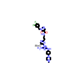 COc1cnc(/C=C/CNC(=O)c2cncn(Cc3ccc(F)c(F)c3)c2=O)nc1-n1nc(NC2=CC=C(N3CCN(C)CC3)CC2)nc1N